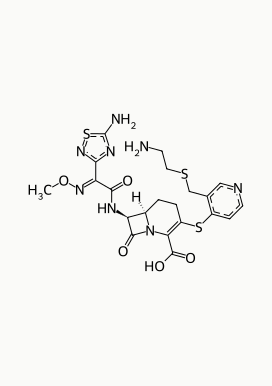 CON=C(C(=O)N[C@@H]1C(=O)N2C(C(=O)O)=C(Sc3ccncc3CSCCN)CC[C@H]12)c1nsc(N)n1